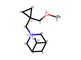 CC(C)OCC1(CN2CC3CC(C2)C3C)CC1